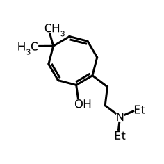 CCN(CC)CC/C1=C(O)/C=C\C(C)(C)C=CC1